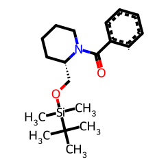 CC(C)(C)[Si](C)(C)OC[C@@H]1CCCCN1C(=O)c1[c]cccc1